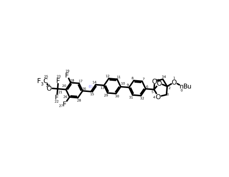 CCCCOC12COC(c3ccc(-c4ccc(/C=C/c5cc(F)c(C(F)(F)OC(F)(F)F)c(F)c5)cc4)cc3)(OC1)O2